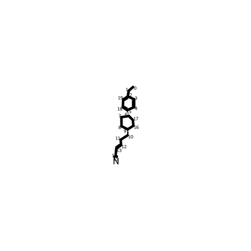 CCc1ccc([C@H]2CC[C@H](CC/C=C/C#N)CC2)cc1